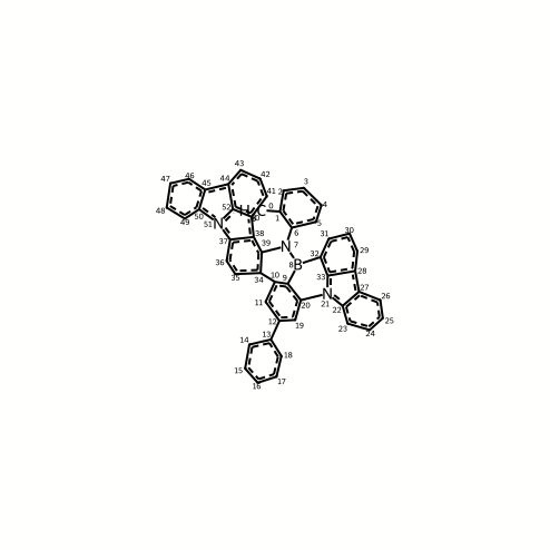 Cc1ccccc1N1B2c3c(cc(-c4ccccc4)cc3-n3c4ccccc4c4cccc2c43)-c2ccc3c(c21)c1cccc2c4ccccc4n3c21